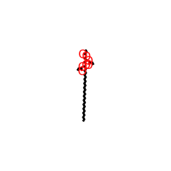 C=CC(=O)OCC(COC(CCCCCCCCCCCCCCCCCCCCCCCCCC)OC(=O)C=C)OC(=O)C=C